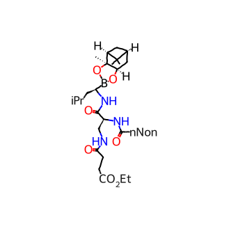 CCCCCCCCCC(=O)N[C@@H](CNC(=O)CCC(=O)OCC)C(=O)N[C@@H](CC(C)C)B1O[C@@H]2C[C@@H]3C[C@@H](C3(C)C)[C@]2(C)O1